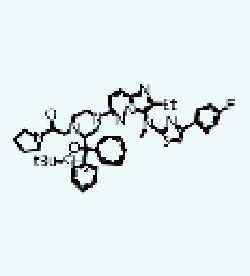 CCc1nc2ccc(N3CCN(CC(=O)N4CCCC4)C(C(O[SiH2]C(C)(C)C)(c4ccccc4)c4ccccc4)C3)nn2c1N(C)c1nc(-c2ccc(F)cc2)cs1